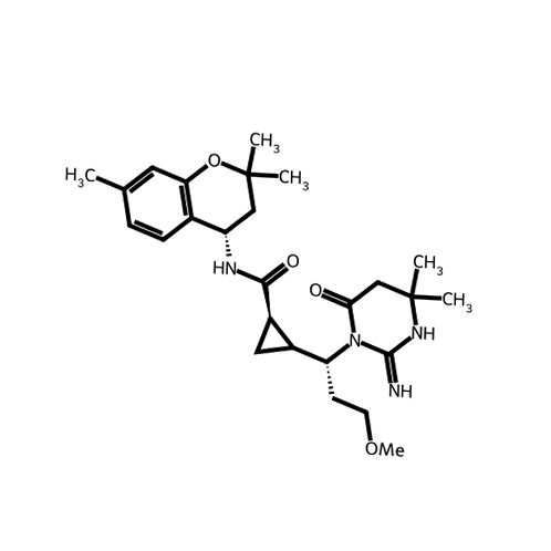 COCC[C@H](C1C[C@H]1C(=O)N[C@H]1CC(C)(C)Oc2cc(C)ccc21)N1C(=N)NC(C)(C)CC1=O